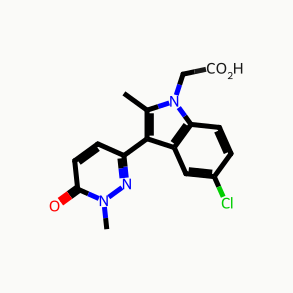 Cc1c(-c2ccc(=O)n(C)n2)c2cc(Cl)ccc2n1CC(=O)O